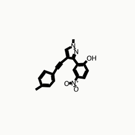 Cc1ccc(C#Cc2cn(C)nc2-c2cc([N+](=O)[O-])ccc2O)cc1